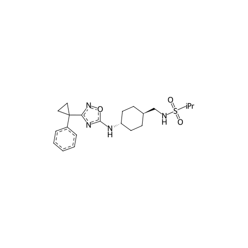 CC(C)S(=O)(=O)NC[C@H]1CC[C@H](Nc2nc(C3(c4ccccc4)CC3)no2)CC1